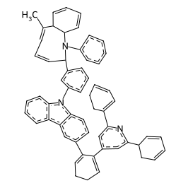 C/C1=C\C=C/C(c2cccc(-n3c4ccccc4c4cc(C5=CCCC=C5c5cc(C6=CC=CCC6)nc(C6C=CC=CC6)c5)ccc43)c2)N(c2ccccc2)C2C=CC=CC12